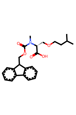 CC(C)CCOC[C@H](C(=O)O)N(C)C(=O)OCC1c2ccccc2-c2ccccc21